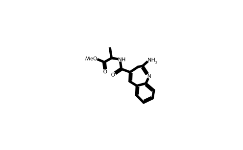 COC(=O)C(C)NC(=O)C1=Cc2ccccc2N=C(N)C1